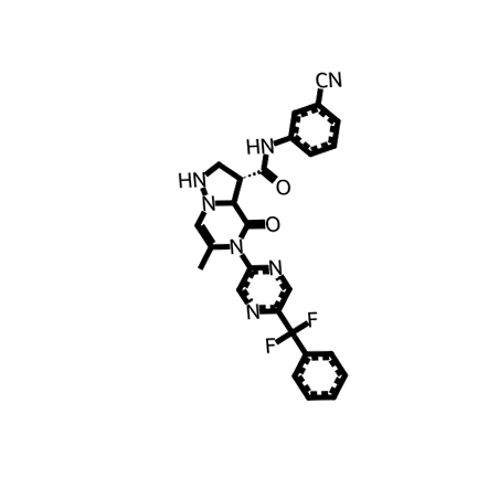 CC1=CN2NC[C@H](C(=O)Nc3cccc(C#N)c3)C2C(=O)N1c1cnc(C(F)(F)c2ccccc2)cn1